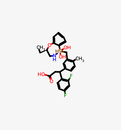 CC[C@@H]1CN[SH](O)(O)(Cc2cc(C(CC(=O)O)c3ccc(F)cc3F)ccc2C)c2ccccc2O1